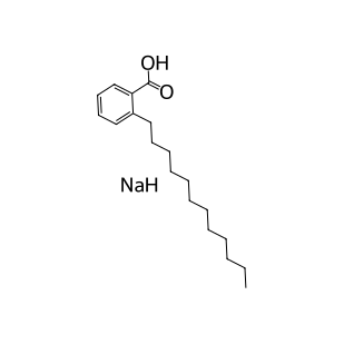 CCCCCCCCCCCCc1ccccc1C(=O)O.[NaH]